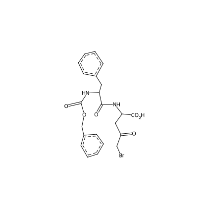 O=C(CBr)CC(NC(=O)C(Cc1ccccc1)NC(=O)OCc1ccccc1)C(=O)O